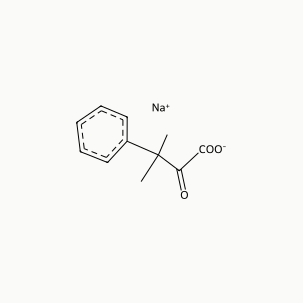 CC(C)(C(=O)C(=O)[O-])c1ccccc1.[Na+]